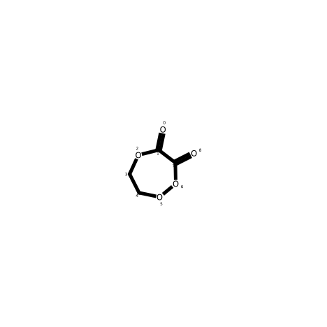 O=C1O[CH]COOC1=O